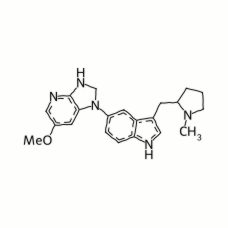 COc1cnc2c(c1)N(c1ccc3[nH]cc(CC4CCCN4C)c3c1)CN2